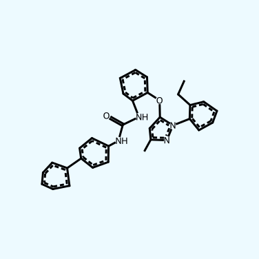 CCc1ccccc1-n1nc(C)cc1Oc1ccccc1NC(=O)Nc1ccc(-c2ccccc2)cc1